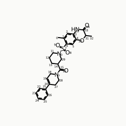 Cc1cc2c(cc1S(=O)(=O)N1CCCC(C(=O)N3CC=C(c4ccccc4)CC3)C1)OC(C)C(=O)N2